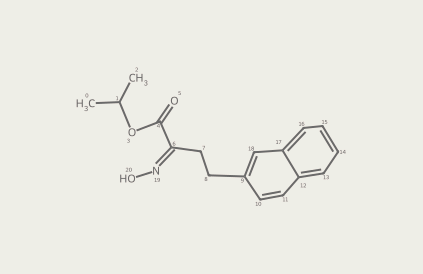 CC(C)OC(=O)C(CCc1ccc2ccccc2c1)=NO